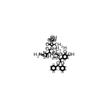 C[C@H]1[C@H](NC(=O)/C(=N\OC(C)(C)C(=O)NC(C(=O)OC(c2ccccc2)c2ccccc2)c2ccc(O)c(O)c2)c2csc(N)n2)C(=O)N1S(=O)(=O)O